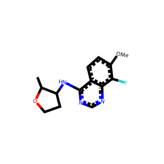 COc1ccc2c(NC3CCOC3C)ncnc2c1F